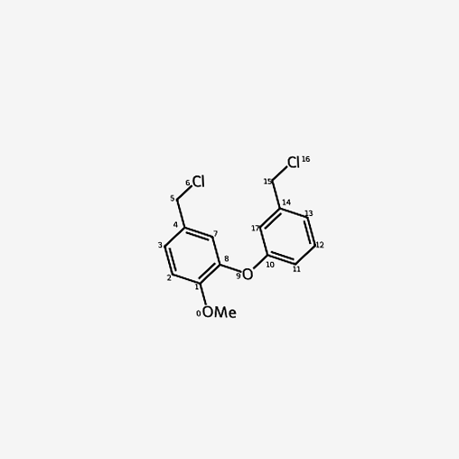 COc1ccc(CCl)cc1Oc1cccc(CCl)c1